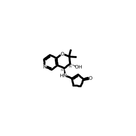 CC1(C)Oc2ccncc2[C@H](NC2=CC(=O)CC2)[C@H]1O